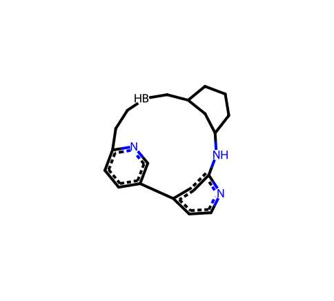 B1CCc2ccc(cn2)-c2ccnc(c2)NC2CCCC(C1)C2